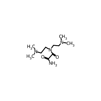 CN(C)CCN(CCN(C)C)C(=O)C(N)=O